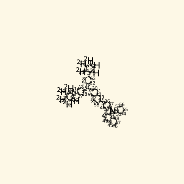 [2H]c1c([2H])c([2H])c(-c2ccc(C(c3ccc(-c4c([2H])c([2H])c([2H])c([2H])c4[2H])cc3)c3ccc4cc(-c5ccc6c(c5)c5ccc7ccccc7c5n6-c5ccccc5)ccc4c3)cc2)c([2H])c1[2H]